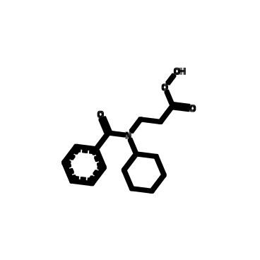 O=C(CCN(C(=O)c1ccccc1)C1CCCCC1)OO